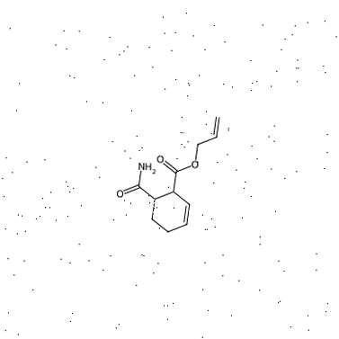 C=CCOC(=O)C1C=CCCC1C(N)=O